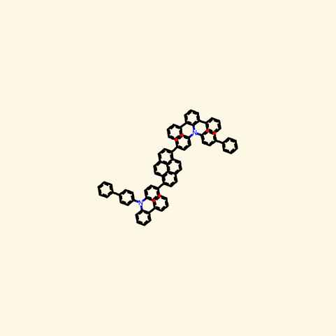 c1ccc(-c2ccc(N(c3ccc(-c4ccc5ccc6c(-c7ccc(N(c8ccc(-c9ccccc9)cc8)c8c(-c9ccccc9)cccc8-c8ccccc8)cc7)ccc7ccc4c5c76)cc3)c3ccccc3-c3ccccc3)cc2)cc1